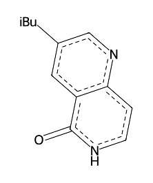 CCC(C)c1cnc2cc[nH]c(=O)c2c1